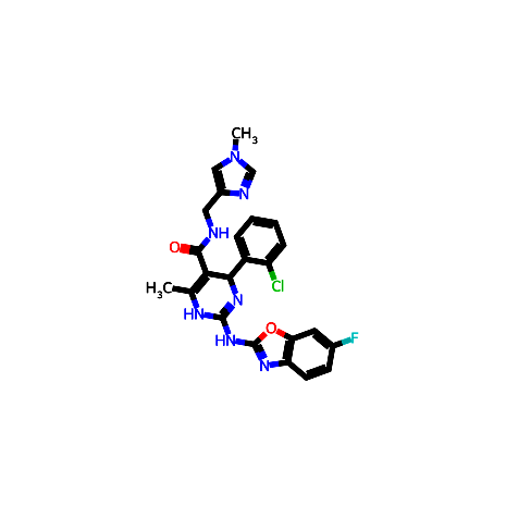 CC1=C(C(=O)NCc2cn(C)cn2)C(c2ccccc2Cl)N=C(Nc2nc3ccc(F)cc3o2)N1